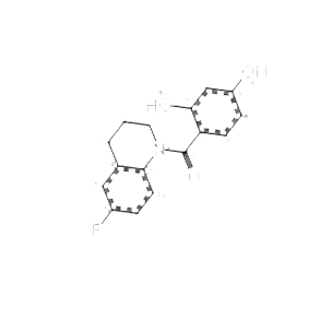 O=C(c1ccc(O)cc1O)N1CCCc2cc(F)ccc21